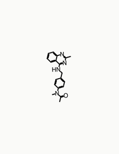 CC(=O)N(C)c1ccc(CNc2nc(C)nc3ccccc23)cc1